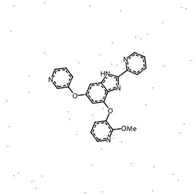 COc1ncccc1Oc1cc(Oc2cccnc2)cc2[nH]c(-c3ccccn3)nc12